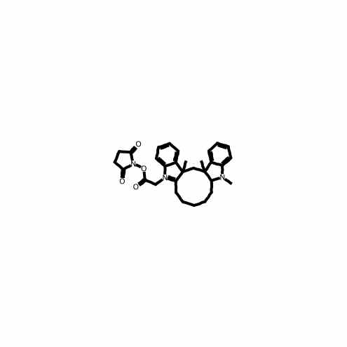 CN1c2ccccc2C2(C)CC3(C)C(=[N+](CC(=O)ON4C(=O)CCC4=O)c4ccccc43)CCCCCC12